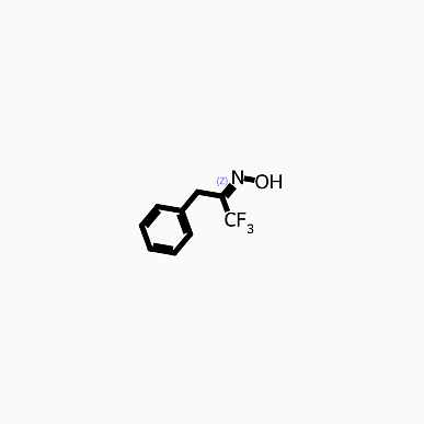 O/N=C(/Cc1ccccc1)C(F)(F)F